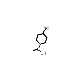 [C-]#[N+]C1CCN(B(C)O)CC1